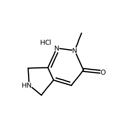 Cl.Cn1nc2c(cc1=O)CNC2